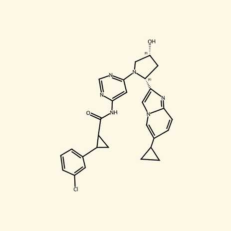 O=C(Nc1cc(N2C[C@H](O)C[C@@H]2c2cn3cc(C4CC4)ccc3n2)ncn1)C1CC1c1cccc(Cl)c1